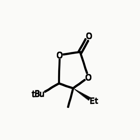 CC[C@@]1(C)OC(=O)OC1C(C)(C)C